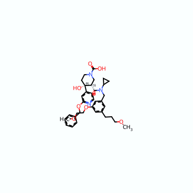 COCCCc1cc(CN(C(=O)[C@H]2CN(C(=O)O)CC[C@]2(O)c2ccnc(OCc3ccccc3)c2)C2CC2)cc(OCCOC)c1